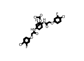 O=C(COc1ccc(Cl)c(F)c1)NC12CCC(NC(=O)COc3ccc(Cl)c(F)c3)(CC1)[C@@H](OC(=O)Cl)C2